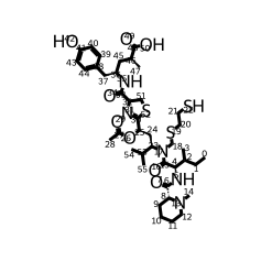 CCC(C)[C@H](NC(=O)[C@H]1CCCCN1C)C(=O)N(CSCCS)[C@H](C[C@@H](OC(C)=O)C1=NC(C(=O)N[C@@H](Cc2ccc(O)cc2)C[C@H](C)C(=O)O)CS1)C(C)C